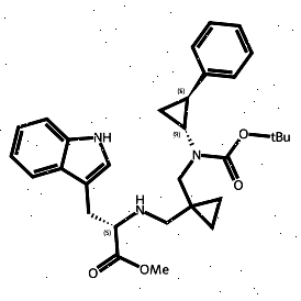 COC(=O)[C@H](Cc1c[nH]c2ccccc12)NCC1(CN(C(=O)OC(C)(C)C)[C@@H]2C[C@H]2c2ccccc2)CC1